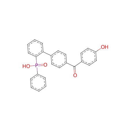 O=C(c1ccc(O)cc1)c1ccc(-c2ccccc2P(=O)(O)c2ccccc2)cc1